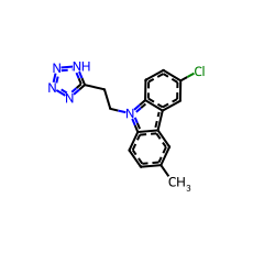 Cc1ccc2c(c1)c1cc(Cl)ccc1n2CCc1nnn[nH]1